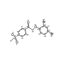 CS(=O)(=O)c1ccc(C(=O)COc2ccc(Br)cc2Br)cc1